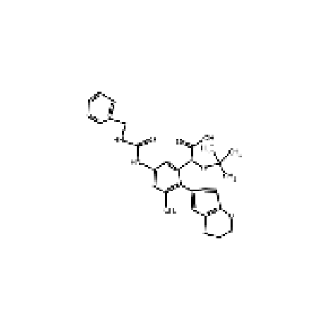 Cc1cc(NC(=O)NCc2ccccc2)cc(C(OC(C)(C)C)C(=O)O)c1-c1ccc2c(c1)CCCO2